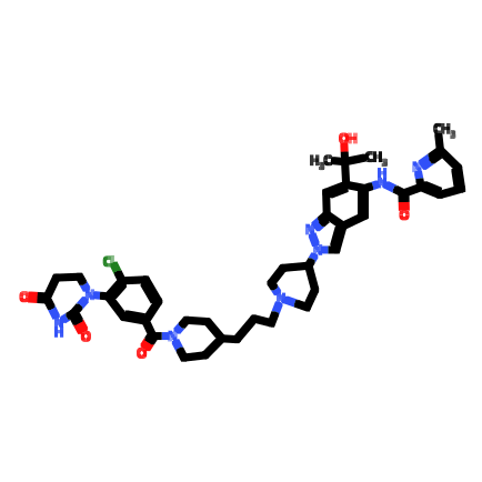 Cc1cccc(C(=O)Nc2cc3cn(C4CCN(CCCC5CCN(C(=O)c6ccc(Cl)c(N7CCC(=O)NC7=O)c6)CC5)CC4)nc3cc2C(C)(C)O)n1